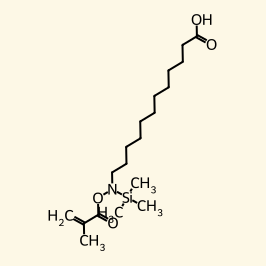 C=C(C)C(=O)ON(CCCCCCCCCCCC(=O)O)[Si](C)(C)C